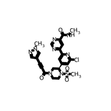 CNC(=O)c1cc(-c2cc([C@@H]3CN(C(=O)C#Cc4cnn(C)c4)CCN3S(C)(=O)=O)cc(Cl)n2)ncn1